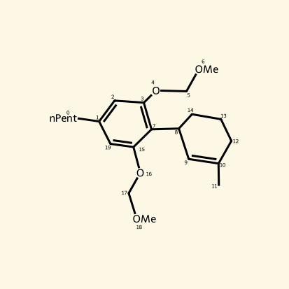 CCCCCc1cc(OCOC)c(C2C=C(C)CCC2)c(OCOC)c1